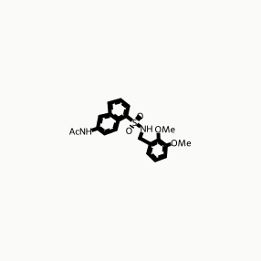 COc1cccc(CNS(=O)(=O)c2cccc3cc(NC(C)=O)ccc23)c1OC